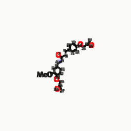 COc1cc(/C=C/C(=O)CCc2ccc(OCC3CO3)cc2)ccc1OCC1CO1